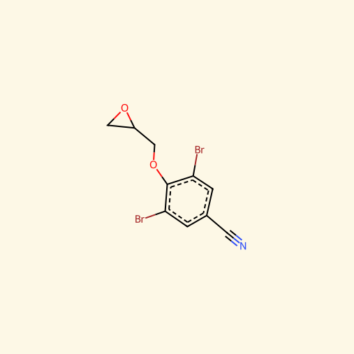 N#Cc1cc(Br)c(OCC2CO2)c(Br)c1